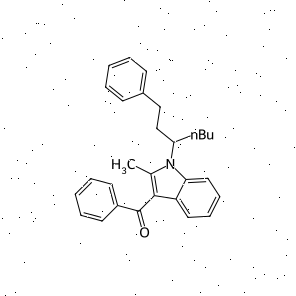 CCCCC(CCc1ccccc1)n1c(C)c(C(=O)c2ccccc2)c2ccccc21